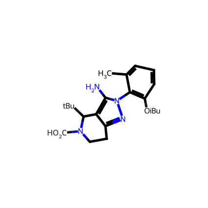 Cc1cccc(OCC(C)C)c1-n1nc2c(c1N)C(C(C)(C)C)N(C(=O)O)CC2